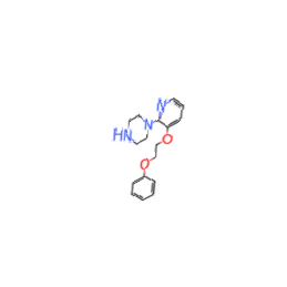 c1ccc(OCCOc2cccnc2N2CCNCC2)cc1